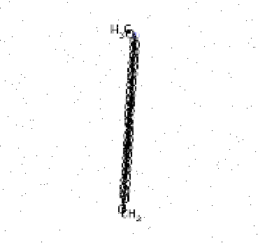 CO/C=C\OOOOOOOOOOOOOOOOOOOOOOOOOOOOOOOOOOOOOOOOOOOOCCOC